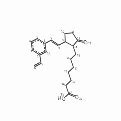 C=Cc1cccc(C=CC2CCC(=O)C2CCCCCCC(=O)O)c1